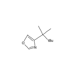 CC(C)(C)C(C)(C)c1cocn1